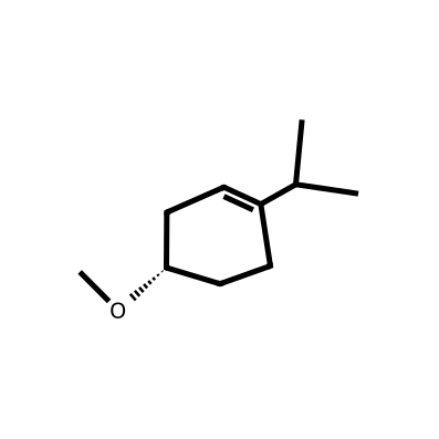 CO[C@@H]1CC=C(C(C)C)CC1